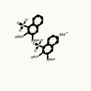 CCCCCCCCCc1cc2ccccc2c(S(=O)(=O)[O-])c1CCCCCCCCC.CCCCCCCCCc1cc2ccccc2c(S(=O)(=O)[O-])c1CCCCCCCCC.[Mg+2]